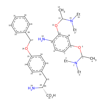 CCN(CC)C(C)Oc1ccc(N)c(OC(C)N(CC)CC)c1.N[C@H](Cc1ccc(OCc2ccccc2)cc1)C(=O)O